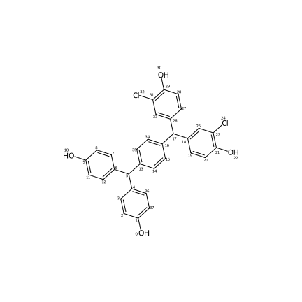 Oc1ccc(C(c2ccc(O)cc2)c2ccc(C(c3ccc(O)c(Cl)c3)c3ccc(O)c(Cl)c3)cc2)cc1